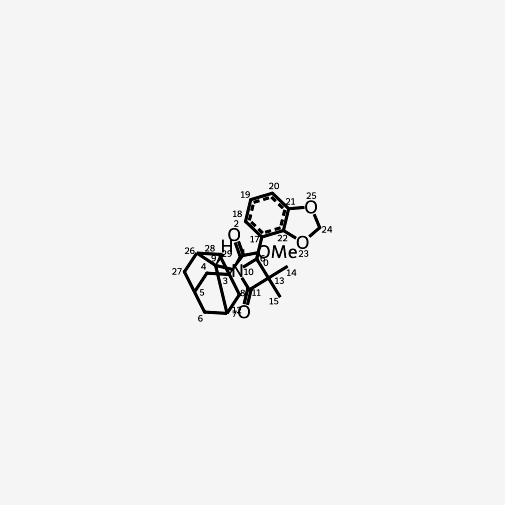 COC(=O)[C@]12CC3CC(C1)[C@@H](N1C(=O)C(C)(C)C1c1cccc4c1OCO4)C(C3)C2